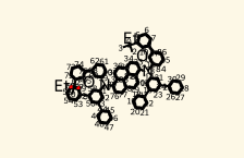 CCC(C)(C)c1cccc2c1oc1c(N(c3cc(-c4ccccc4)cc(-c4ccccc4)c3)c3ccc4ccc5c(N(c6cc(-c7ccccc7)cc(-c7ccccc7)c6)c6cccc7c6oc6c(C(C)(C)CC)cccc67)ccc6ccc3c4c65)cccc12